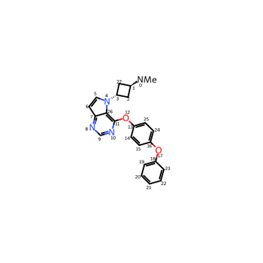 CN[C@H]1C[C@H](n2ccc3ncnc(Oc4ccc(Oc5ccccc5)cc4)c32)C1